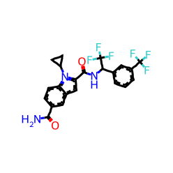 NC(=O)c1ccc2c(c1)cc(C(=O)NC(c1cccc(C(F)(F)F)c1)C(F)(F)F)n2C1CC1